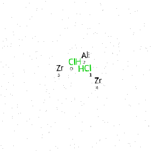 Cl.Cl.[Al].[Zr].[Zr]